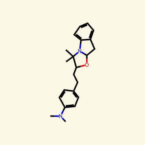 CN(C)c1ccc(CCC2OC3Cc4ccccc4N3C2(C)C)cc1